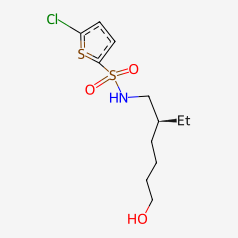 CC[C@@H](CCCCO)CNS(=O)(=O)c1ccc(Cl)s1